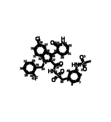 CS(=O)(=O)Nc1cccc(CS(=O)(=O)NC(=O)c2c(-c3ccc[nH]c3=O)c3cc(Cl)ccc3n2Cc2ccccc2F)c1